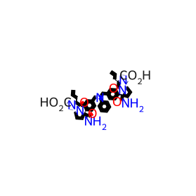 C=CC[C@@H](C(=O)N1CCC[C@@]1(C(N)=O)c1ccc(CN(Cc2ccc([C@]3(C(N)=O)CCCN3C(=O)[C@H](CC=C)N(C)C(=O)O)cc2)c2ccccc2)cc1)N(C)C(=O)O